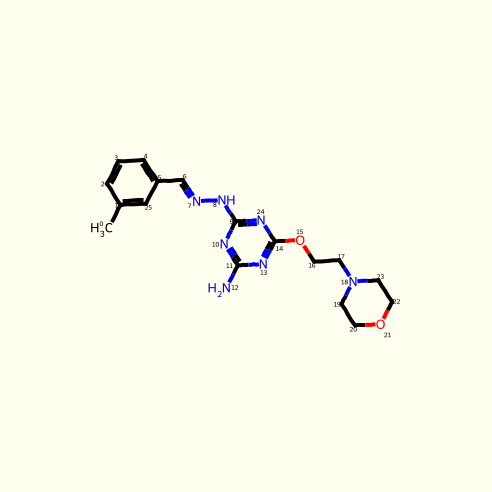 Cc1cccc(C=NNc2nc(N)nc(OCCN3CCOCC3)n2)c1